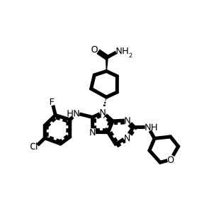 NC(=O)[C@H]1CC[C@H](n2c(Nc3ccc(Cl)cc3F)nc3cnc(NC4CCOCC4)nc32)CC1